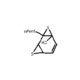 CCCCCC12SC1(O)C=CC1SC12